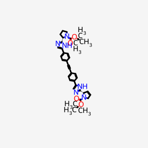 CC(C)(C)OC(=O)N1CC=C[C@H]1c1ncc(-c2ccc(C#Cc3ccc(-c4cnc([C@@H]5CCCN5C(=O)OC(C)(C)C)[nH]4)cc3)cc2)[nH]1